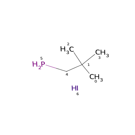 CC(C)(C)CP.I